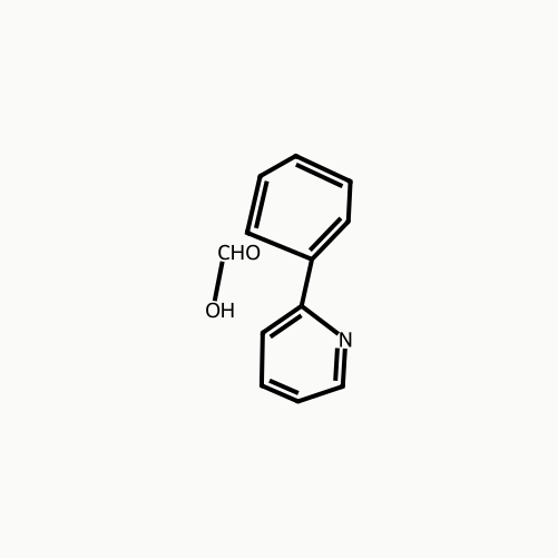 O=CO.c1ccc(-c2ccccn2)cc1